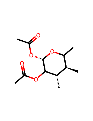 CC(=O)OC1[C@H](OC(C)=O)OC(C)[C@@H](C)[C@@H]1C